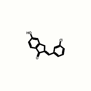 O=C1/C(=C/c2cccc(Cl)c2)Cc2cc(O)ccc21